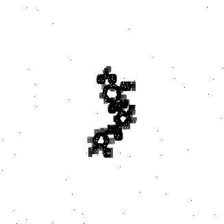 CC(=O)O[C@@H]1CCCN(S(=O)(=O)c2cc(C(=O)Nc3ccc(F)c(Cl)c3)ccc2F)C[C@@H]1O